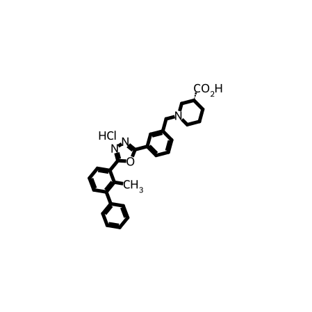 Cc1c(-c2ccccc2)cccc1-c1nnc(-c2cccc(CN3CCC[C@@H](C(=O)O)C3)c2)o1.Cl